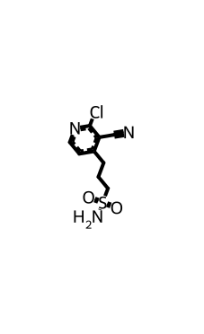 N#Cc1c(CCCS(N)(=O)=O)ccnc1Cl